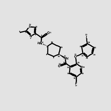 Cc1nc(C(=O)N[C@H]2CC[C@H](NC(=O)c3cc(F)cnc3Oc3cccc(I)c3)CC2)cs1